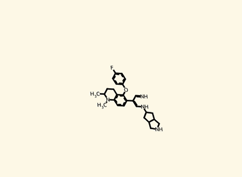 CC1CCc2c(ccc(/C(C=N)=C/NC3CC4CNCC4C3)c2Oc2ccc(F)cc2)N1C